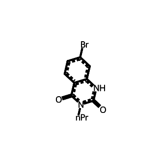 CCCn1c(=O)[nH]c2cc(Br)ccc2c1=O